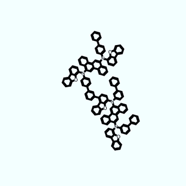 c1ccc(-c2ccc(N(c3cc4c5ccccc5c(N(c5ccc(-c6cccc(-c7ccc(N(c8cccc(-c9ccccc9)c8)c8cc9c%10ccccc%10c(N(c%10cccc(-c%11ccccc%11)c%10)c%10cccc%11c%10oc%10ccccc%10%11)cc9c9ccccc89)c8oc9ccccc9c78)c6)cc5)c5cccc6c5oc5ccccc56)cc4c4ccccc34)c3cccc4c3oc3ccccc34)cc2)cc1